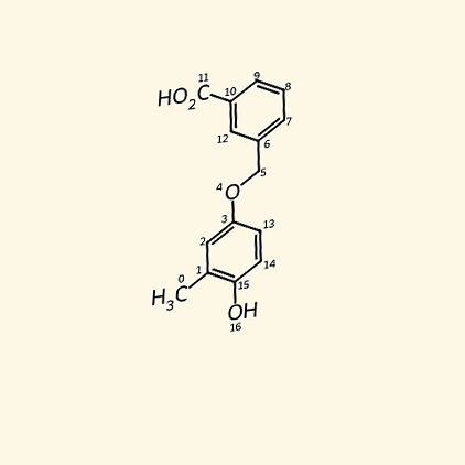 Cc1cc(OCc2cccc(C(=O)O)c2)ccc1O